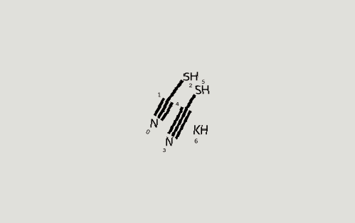 N#CS.N#CS.[KH]